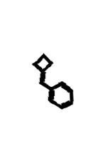 C(=C1CCC1)c1ccccc1